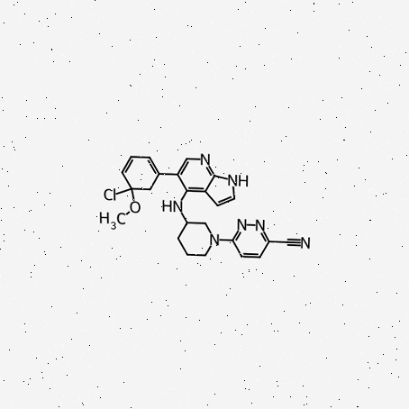 COC1(Cl)C=CC=C(c2cnc3[nH]ccc3c2NC2CCCN(c3ccc(C#N)nn3)C2)C1